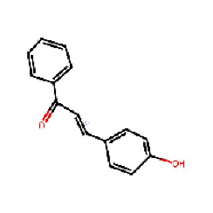 O=C(/C=C/c1ccc(O)cc1)c1cc[c]cc1